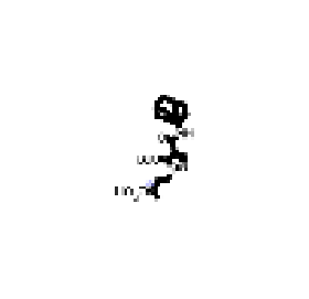 C/C(=C\Cn1ncc(C(=O)NC2C3CC4CC(C3)CC2C4)c1OCC(C)C)C(=O)O